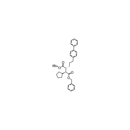 CC(C)(C)OC(=O)[C@H](CCCc1ccc(-c2ccccc2)cc1)[C@@H](C(=O)OCc1ccccc1)C1CCCC1